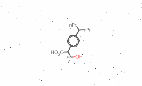 CCCC(CCC)c1ccc(C(C(=O)O)[C@@H](C)O)cc1